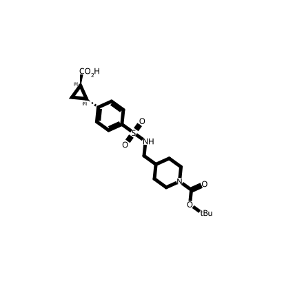 CC(C)(C)OC(=O)N1CCC(CNS(=O)(=O)c2ccc([C@@H]3C[C@H]3C(=O)O)cc2)CC1